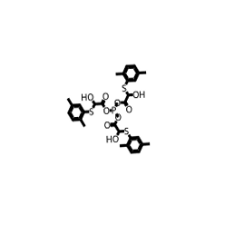 Cc1ccc(C)c(SC(O)C(=O)OP(OC(=O)C(O)Sc2cc(C)ccc2C)OC(=O)C(O)Sc2cc(C)ccc2C)c1